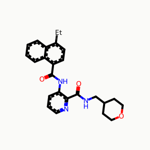 CCc1ccc(C(=O)Nc2cccnc2C(=O)NCC2CCOCC2)c2ccccc12